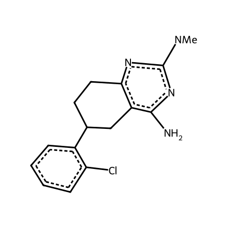 CNc1nc(N)c2c(n1)CCC(c1ccccc1Cl)C2